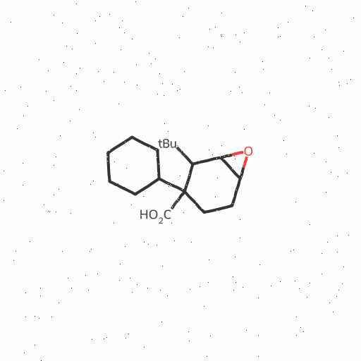 CC(C)(C)C1C2OC2CCC1(C(=O)O)C1CCCCC1